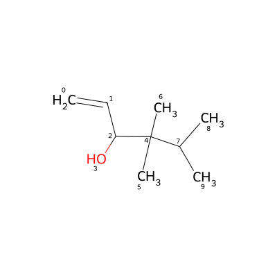 C=CC(O)C(C)(C)C(C)C